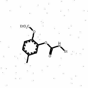 CCNC(=O)Oc1cc(C)ccc1OC(=O)OCC